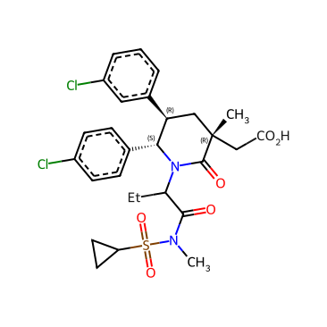 CCC(C(=O)N(C)S(=O)(=O)C1CC1)N1C(=O)[C@@](C)(CC(=O)O)C[C@H](c2cccc(Cl)c2)[C@H]1c1ccc(Cl)cc1